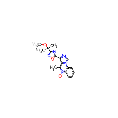 COC(C)(C)c1noc(-c2ncn3c2c(C)[n+]([O-])c2ccccc23)n1